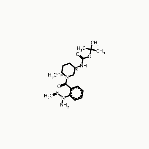 C=NN(N)c1ccccc1C(=O)N1C[C@H](NC(=O)OC(C)(C)C)CC[C@H]1C